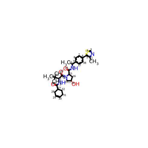 Cc1ncsc1-c1ccc([C@H](C)NC(=O)C2C[C@@H](O)CN2C(=O)[C@@H](NC(=O)C2CC=CCC2)C(C)(C)C)cc1